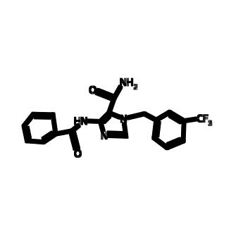 NC(=O)c1c(NC(=O)c2ccccc2)ncn1Cc1cccc(C(F)(F)F)c1